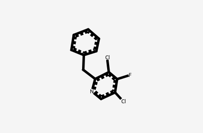 Fc1c(Cl)cnc([CH]c2ccccc2)c1Cl